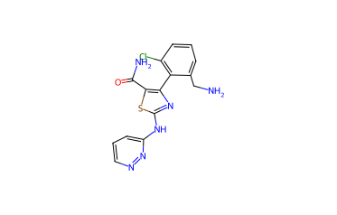 NCc1cccc(Cl)c1-c1nc(Nc2cccnn2)sc1C(N)=O